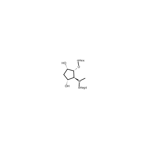 CCCCCCCN(C)[C@@H]1[C@@H](OCCCCCC)[C@@H](O)C[C@H]1O